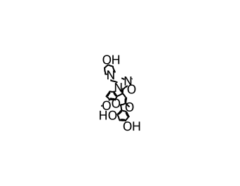 COc1ccc2c(c1)c(C=C1Oc3cc(O)cc(O)c3C1=O)c(C(=O)N(C)C)n2CCN1CCC(O)CC1